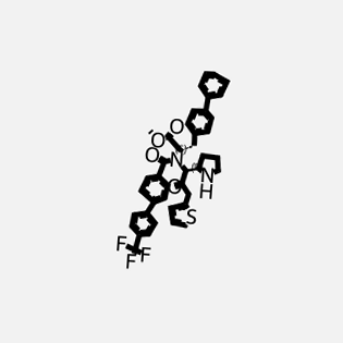 COC(=O)[C@H](Cc1ccc(-c2ccccc2)cc1)N(C(=O)c1ccc(-c2ccc(C(F)(F)F)cc2)cc1)C(C(=O)Cc1cccs1)[C@H]1CCCN1